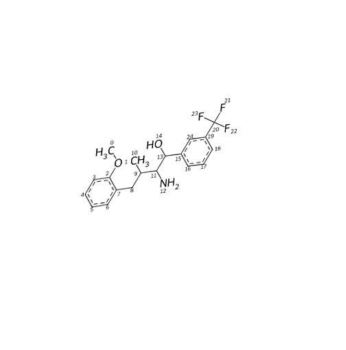 COc1ccccc1CC(C)C(N)C(O)c1cccc(C(F)(F)F)c1